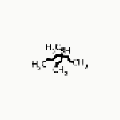 CBC(CCC)(CCC)CCCC